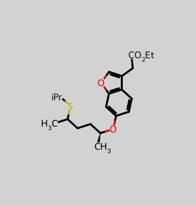 CCOC(=O)Cc1coc2cc(O[C@@H](C)CCC(C)SC(C)C)ccc12